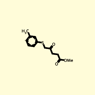 COC(=O)CCC(=O)CSc1cc[c]c(C)c1